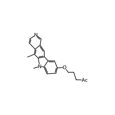 CC(=O)CCCOc1ccc2c(c1)c1cc3cnccc3c(C)c1n2C